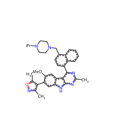 COc1cc2c(cc1-c1c(C)noc1C)[nH]c1nc(C)nc(-c3ccc(CN4CCN(C(C)C)CC4)c4ccccc34)c12